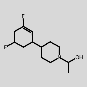 CC(O)N1CCC(C2C=C(F)CC(F)C2)CC1